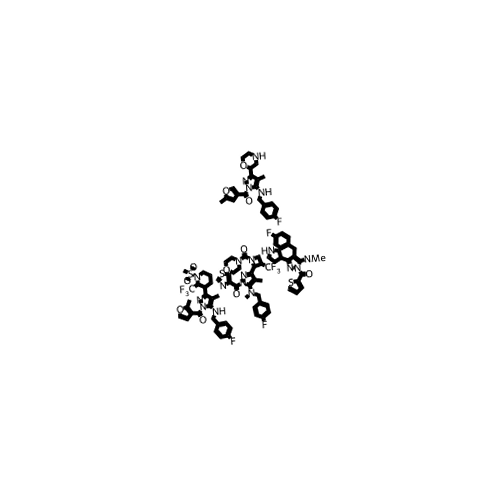 CNc1c(Cc2ccc(F)cc2)c(C2CCNC2)nn1C(=O)c1cccs1.Cc1c(C2C(C(F)(F)F)CN2C(=O)N2CCOCC2)nn(C(=O)c2cscn2)c1N(C)Cc1ccc(F)cc1.Cc1cc(C(=O)n2nc(C3CNCCO3)c(C)c2NCc2ccc(F)cc2)co1.Cc1occc1C(=O)n1nc(C2CCCN(S(C)(=O)=O)C2C(F)(F)F)c(C)c1NCc1ccc(F)cc1